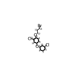 Clc1cccc(Oc2ccc(OCCCBr)c(Cl)c2)c1